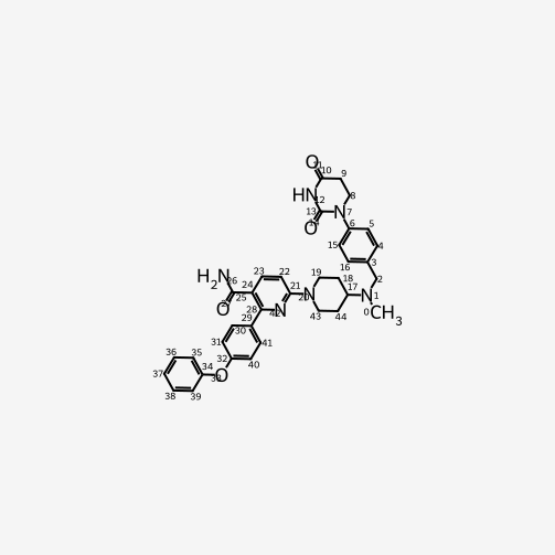 CN(Cc1ccc(N2CCC(=O)NC2=O)cc1)C1CCN(c2ccc(C(N)=O)c(-c3ccc(Oc4ccccc4)cc3)n2)CC1